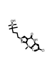 CN1c2ccc(Cl)cc2NC(=O)c2cn(CCCC(C)(C)[Si](C)(C)O)nc21